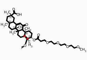 COCCOCCOCCOCCC(=O)O[C@H]1CC[C@]2(C)C3C(=O)C=C4C5C[C@@](C)(C(=O)O)CC[C@]5(C)CC[C@@]4(C)C3(C)CCC23N=C(OI)[C@]13C